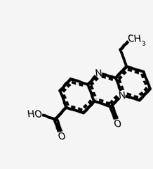 CCc1cccn2c(=O)c3cc(C(=O)O)ccc3nc12